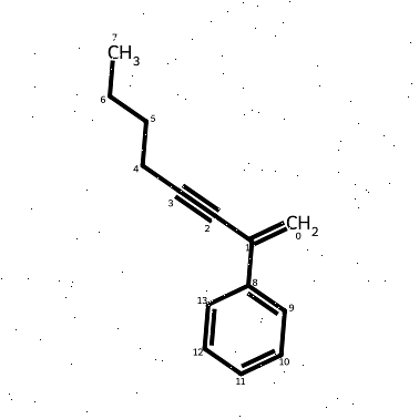 C=C(C#CCCCC)c1ccccc1